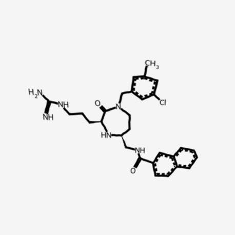 Cc1cc(Cl)cc(CN2CC[C@@H](CNC(=O)c3ccc4ccccc4c3)N[C@@H](CCCNC(=N)N)C2=O)c1